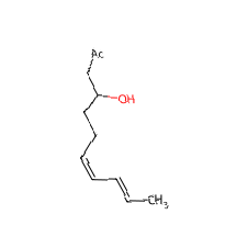 C/C=C/C=C\CCC(O)CC(C)=O